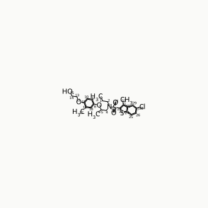 CCCN(CC(C)Oc1ccc(OCCO)c(C)c1)S(=O)(=O)c1sc2ccc(Cl)cc2c1C